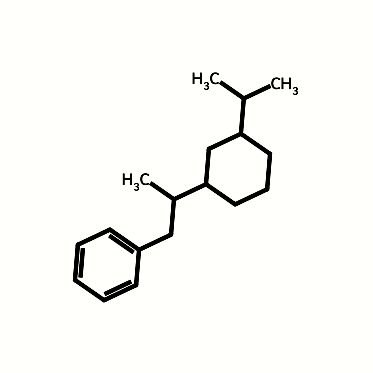 CC(C)C1CCCC(C(C)Cc2ccccc2)C1